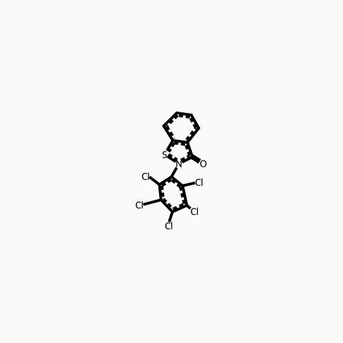 O=c1c2ccccc2sn1-c1c(Cl)c(Cl)c(Cl)c(Cl)c1Cl